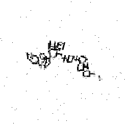 Cc1ccc2c(N3CCN(CCc4cccc(N5CCN(Cc6ccncc6)C5=O)c4)CC3)cccc2n1.Cl.Cl